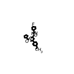 CCc1ccc(C2CC(c3nc(-c4ccc(F)cc4)no3)CN(C(=O)C3CCCC3)C2)cc1